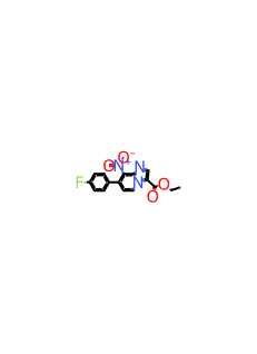 CCOC(=O)c1cnc2c([N+](=O)[O-])c(-c3ccc(F)cc3)ccn12